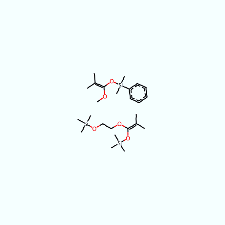 CC(C)=C(OCCO[Si](C)(C)C)O[Si](C)(C)C.COC(O[Si](C)(C)c1ccccc1)=C(C)C